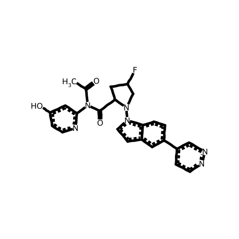 CC(=O)N(C(=O)C1CC(F)CN1n1ccc2cc(-c3ccnnc3)ccc21)c1cc(O)ccn1